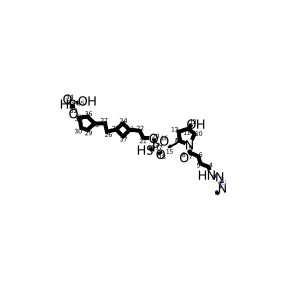 C/N=N\NCCCC(=O)N1CC(O)C[C@@H]1COP(=O)(S)OCCC1CC(CCC2CC[C@@H](O[PH](=O)O)C2)C1